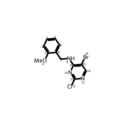 COc1ccccc1CNc1nc(Cl)ncc1Br